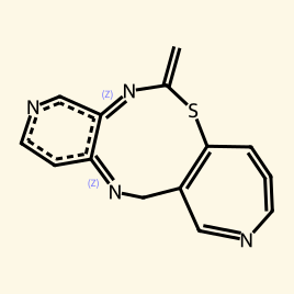 C=C1/N=c2/cncc/c2=N/CC2=C(C=C=CN=C2)S1